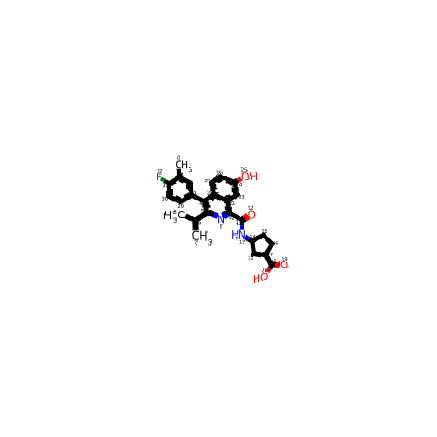 Cc1cc(-c2c(C(C)C)nc(C(=O)NC3CCC(C(=O)O)C3)c3cc(O)ccc23)ccc1F